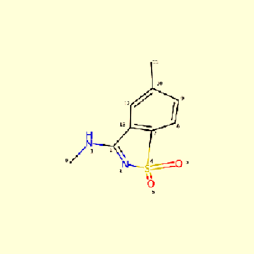 CNC1=NS(=O)(=O)c2ccc(C)cc21